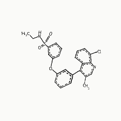 CCNS(=O)(=O)c1cccc(Oc2cccc(-c3c(C)cnc4c(Cl)cccc34)c2)c1